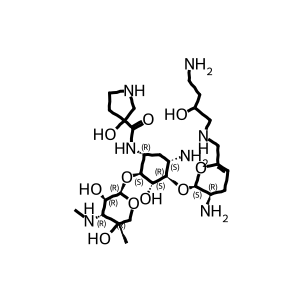 CN[C@@H]1[C@@H](O)[C@@H](O[C@@H]2[C@@H](O)[C@H](O[C@H]3OC(CNCC(O)CCN)=CC[C@H]3N)[C@@H](N)C[C@H]2NC(=O)C2(O)CCNC2)OC[C@]1(C)O